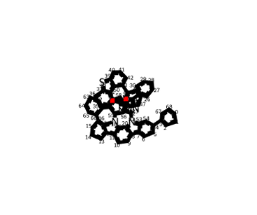 c1ccc(-c2ccc3c4ccc5c6cccc7c6n(c5c4n(-c4nc(-c5ccccc5)nc(-c5cccc6sc8cccc(-c9ccccc9)c8c56)n4)c3c2)-c2ccccc2-c2ccccc2-7)cc1